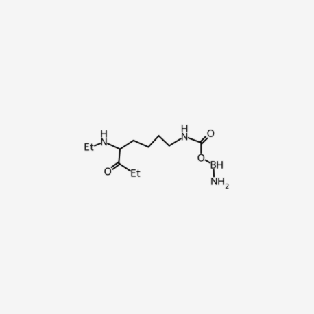 CCNC(CCCCNC(=O)OBN)C(=O)CC